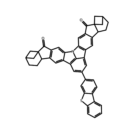 O=C1c2cc3c(cc2C2CCC4CC12C4)c1cc(-c2ccc4c(c2)sc2ccccc24)cc2c4cc5c(cc4n3c12)C(=O)C12CC(CCC51)C2